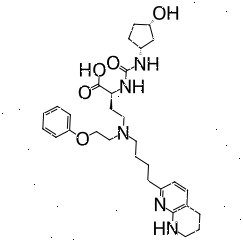 O=C(N[C@@H]1CC[C@H](O)C1)N[C@@H](CCN(CCCCc1ccc2c(n1)NCCC2)CCOc1ccccc1)C(=O)O